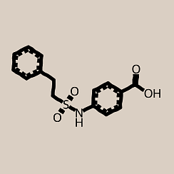 O=C(O)c1ccc(NS(=O)(=O)CCc2ccccc2)cc1